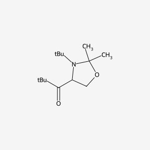 CC(C)(C)C(=O)C1COC(C)(C)N1C(C)(C)C